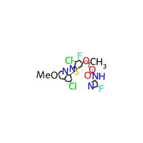 COc1cnc2c(-c3nc4c(Cl)c(F)c(O[C@@H](C)COC(=O)Nc5cncc(F)c5)cc4s3)cc(Cl)cc2c1